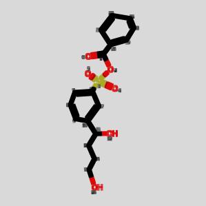 O=C(OS(=O)(=O)c1cccc(C(O)CCCO)c1)c1ccccc1